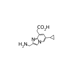 NCc1cn2cc(C3CC3)cc(CC(=O)O)c2n1